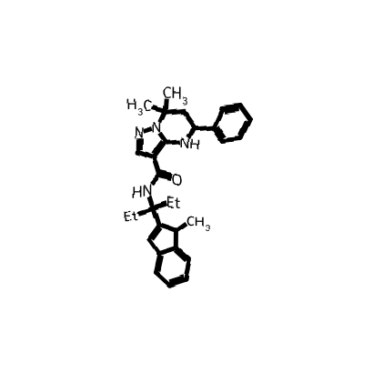 CCC(CC)(NC(=O)c1cnn2c1NC(c1ccccc1)CC2(C)C)C1=Cc2ccccc2C1C